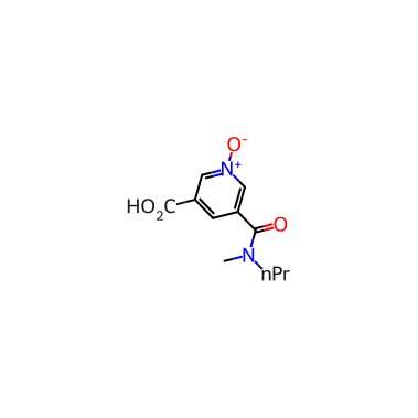 CCCN(C)C(=O)c1cc(C(=O)O)c[n+]([O-])c1